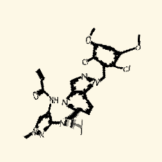 C=CC(=O)Nc1cn(C)nc1Nc1ccc2c(cnn2Cc2c(Cl)c(OC)cc(OC)c2Cl)n1